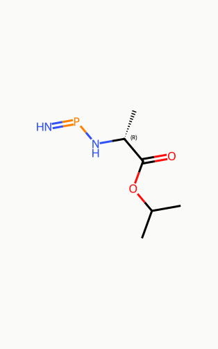 CC(C)OC(=O)[C@@H](C)NP=N